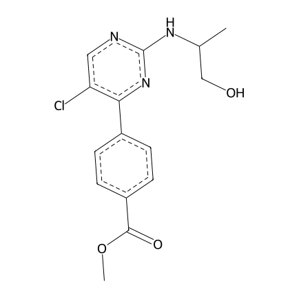 COC(=O)c1ccc(-c2nc(NC(C)CO)ncc2Cl)cc1